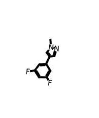 Cn1cc(-c2cc(F)cc(F)c2)cn1